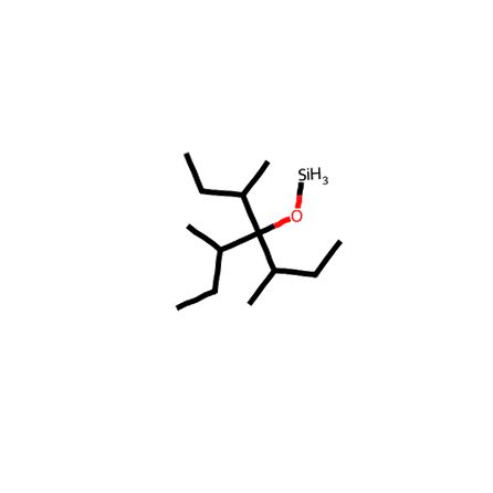 CCC(C)C(O[SiH3])(C(C)CC)C(C)CC